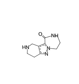 O=C1NCCCn2nc3c(c21)CNCC3